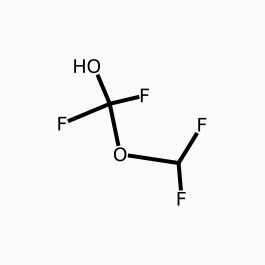 OC(F)(F)OC(F)F